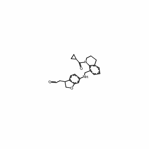 O=CCC1COc2cc(NCc3cccc4c3N(C(=O)C3CC3)CCC4)ccc21